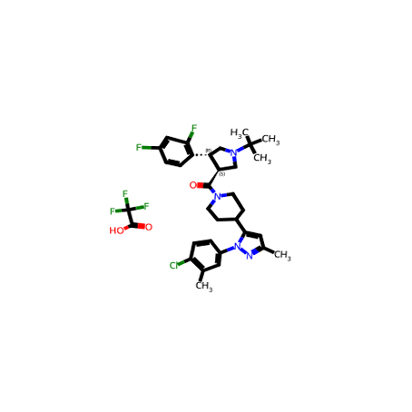 Cc1cc(C2CCN(C(=O)[C@@H]3CN(C(C)(C)C)C[C@H]3c3ccc(F)cc3F)CC2)n(-c2ccc(Cl)c(C)c2)n1.O=C(O)C(F)(F)F